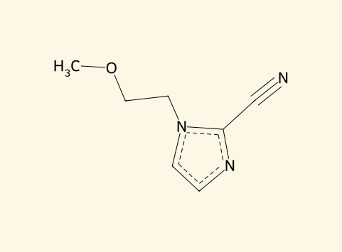 COCCn1ccnc1C#N